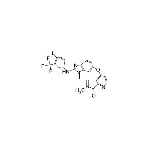 CNC(=O)c1cc(Oc2ccc3nc(Nc4ccc(I)c(C(F)(F)F)c4)[nH]c3c2)ccn1